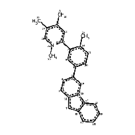 Cc1cc(-c2cc(-c3ccc4cc5ccccc5n4c3)ccc2C)[n+](C)cc1C